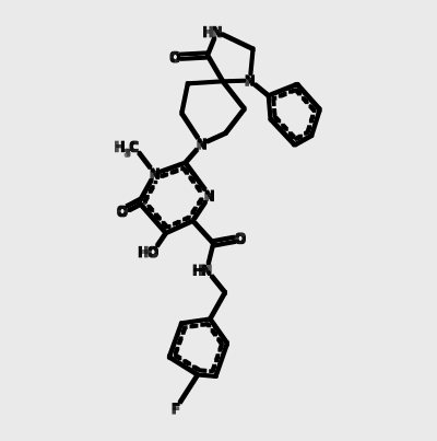 Cn1c(N2CCC3(CC2)C(=O)NCN3c2ccccc2)nc(C(=O)NCc2ccc(F)cc2)c(O)c1=O